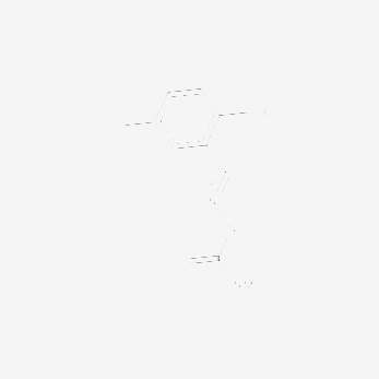 CNC(=S)N/N=C/c1cc(Br)ccc1O